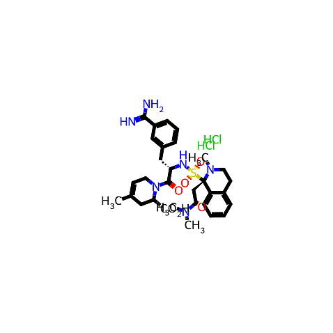 CC1=CCN(C(=O)[C@H](Cc2cccc(C(=N)N)c2)NS(=O)(=O)[C@@]2(CC(=O)N(C)C)c3ccccc3CCN2C)C(C(=O)O)C1.Cl.Cl